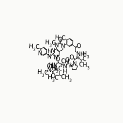 Cc1ccc(Nc2ncc3c(n2)N(C)C(=O)N(c2cc(C(=O)CN[C@@H](C(=O)N4CCC[C@@H]4C(=O)NC(C)(C)C(=O)N[C@H](CC(C)C)C(=O)N(C)C)C(C)C)ccc2C)C3)cn1